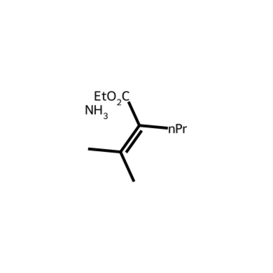 CCCC(C(=O)OCC)=C(C)C.N